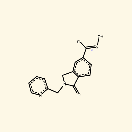 O=C1c2ccc(/C(Cl)=N/O)cc2CN1Cc1ccccn1